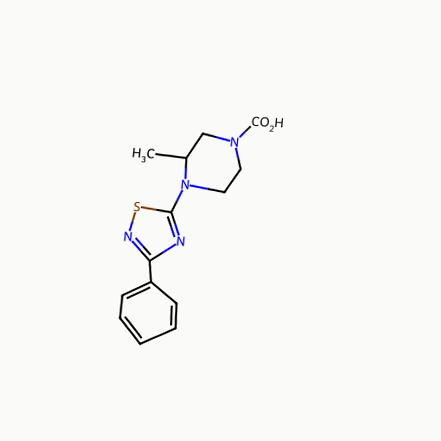 CC1CN(C(=O)O)CCN1c1nc(-c2ccccc2)ns1